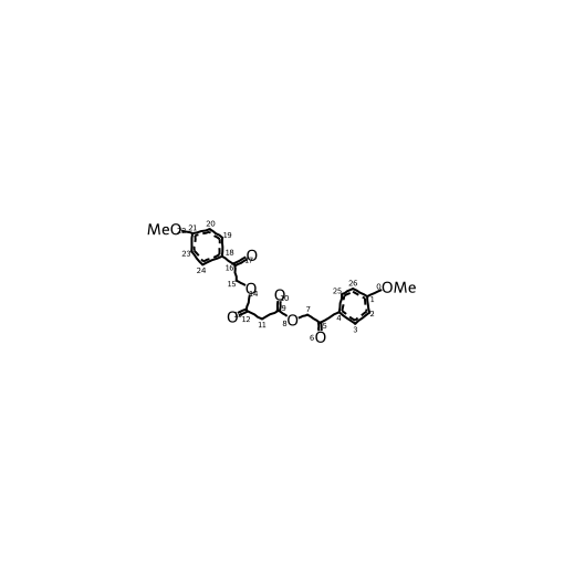 COc1ccc(C(=O)COC(=O)CC(=O)OCC(=O)c2ccc(OC)cc2)cc1